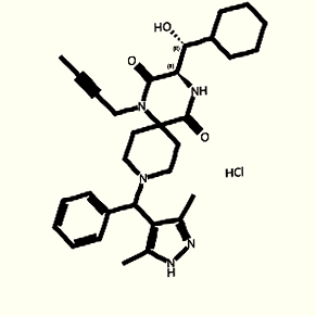 CC#CCN1C(=O)[C@@H]([C@H](O)C2CCCCC2)NC(=O)C12CCN(C(c1ccccc1)c1c(C)n[nH]c1C)CC2.Cl